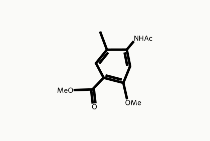 COC(=O)c1cc(C)c(NC(C)=O)cc1OC